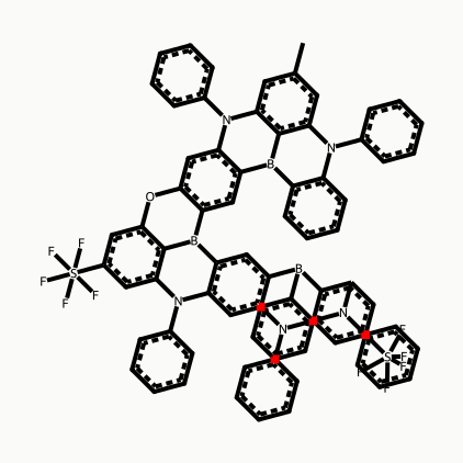 Cc1cc2c3c(c1)N(c1ccccc1)c1cc4c(cc1B3c1ccccc1N2c1ccccc1)B1c2cc3c(cc2N(c2ccccc2)c2cc(S(F)(F)(F)(F)F)cc(c21)O4)N(c1ccccc1)c1cc(S(F)(F)(F)(F)F)cc2c1B3c1ccccc1N2c1ccccc1